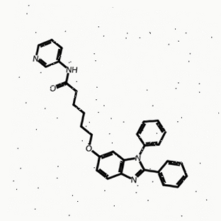 O=C(CCCCCOc1ccc2nc(-c3ccccc3)n(-c3ccccc3)c2c1)Nc1cccnc1